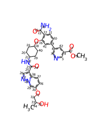 COC(=O)c1cncc(-c2ccc(C(N)=O)c(OC3CCC(NC(=O)c4cnn5cc(OCC(C)O)ccc45)CC3)c2)c1